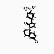 O=C1[C@@H](N2CCCc3cc(Cl)ccc32)CCN1c1ccc([S+]([O-])P)cc1